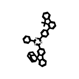 CC1(C)c2ccccc2-c2cccc(-c3ccc(-c4nc(-c5ccccc5)nc(-c5ccc6c(c5)C5(c7ccccc7-6)C6CC7CC(C6)CC5C7)n4)cc3)c21